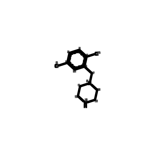 Clc1ccc(Cl)c(CN2CCNCC2)c1